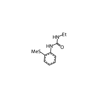 CCNC(=O)Nc1ccccc1SC